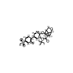 CC(C)(C)OC(=O)N1CC2COC(C1)[C@H]2COc1ncc(-c2ccc(S(C)(=O)=O)cc2F)cn1